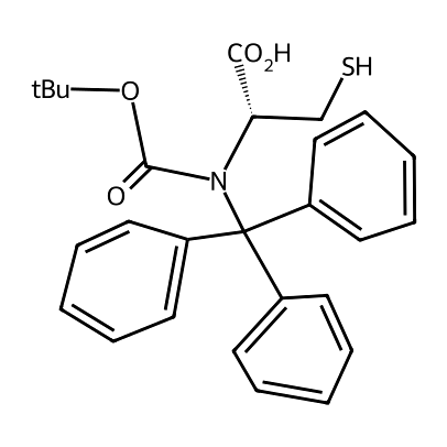 CC(C)(C)OC(=O)N([C@@H](CS)C(=O)O)C(c1ccccc1)(c1ccccc1)c1ccccc1